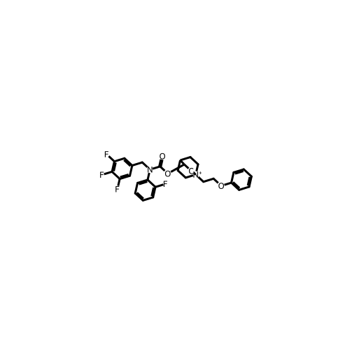 O=C(OC1C[N+]2(CCOc3ccccc3)CCC1CC2)N(Cc1cc(F)c(F)c(F)c1)c1ccccc1F